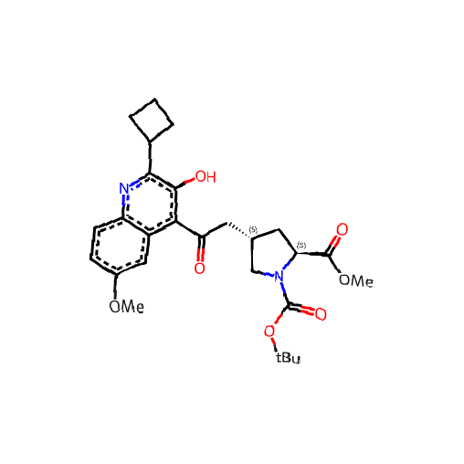 COC(=O)[C@@H]1C[C@@H](CC(=O)c2c(O)c(C3CCC3)nc3ccc(OC)cc23)CN1C(=O)OC(C)(C)C